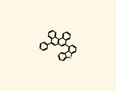 c1ccc(-c2cc3cc(-c4cccc5oc6ccccc6c45)c4ccccc4c3c3ccccc23)cc1